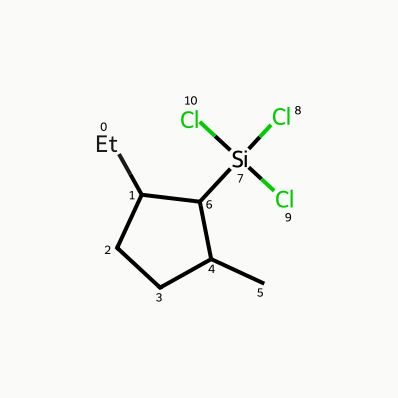 CCC1CCC(C)C1[Si](Cl)(Cl)Cl